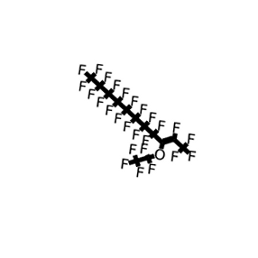 FC(=C(OC(F)(F)C(F)(F)F)C(F)(F)C(F)(F)C(F)(F)C(F)(F)C(F)(F)C(F)(F)C(F)(F)C(F)(F)F)C(F)(F)F